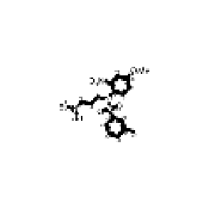 CCN(CC)CCCN(c1ccc(OC)cc1[N+](=O)[O-])S(=O)(=O)c1cccc(C)c1